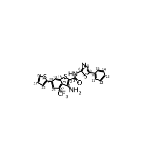 Nc1c(C(=O)Nc2nnc(-c3ccccc3)s2)sc2cc(-c3cccs3)cc(C(F)(F)F)c12